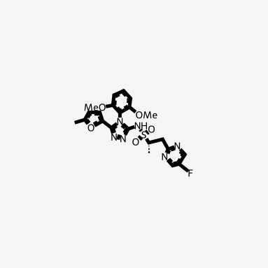 COc1cccc(OC)c1-n1c(NS(=O)(=O)[C@@H](C)Cc2ncc(F)cn2)nnc1-c1ccc(C)o1